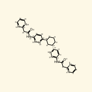 O=C(Cc1ncccn1)Nc1ccc([C@H]2CCC[C@H](c3ccc(NC(=O)Cc4ncccn4)nn3)C2)nn1